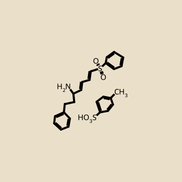 Cc1ccc(S(=O)(=O)O)cc1.NC(C=CC=CS(=O)(=O)c1ccccc1)CCc1ccccc1